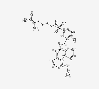 N[C@@H](CCCCNS(=O)(=O)c1ccc(Cl)c(COC2(c3cnccc3-c3ccccc3OC3CC3)CC2)c1)C(=O)O